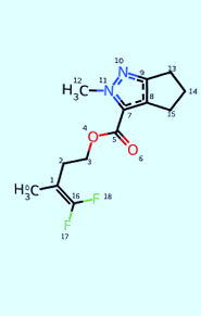 CC(CCOC(=O)c1c2c(nn1C)CCC2)=C(F)F